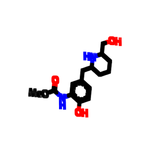 COC(=O)Nc1cc(CC2CCCC(CO)N2)ccc1O